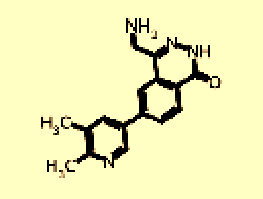 Cc1cc(-c2ccc3c(=O)[nH]nc(CN)c3c2)cnc1C